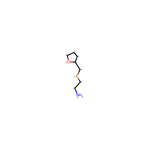 NCCSCC1CCCO1